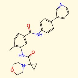 Cc1ccc(C(=O)Nc2ccc(-c3cccnc3)cc2)cc1NC(=O)C1(N2CCOCC2)CC1